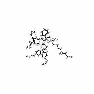 CCC1(OCCOCCOCCO)c2ccccc2-c2c1c1c(c3cc(OC)c(OC)cc23)OC(c2ccc(OC)cc2)(c2ccc(OC)cc2)C=C1